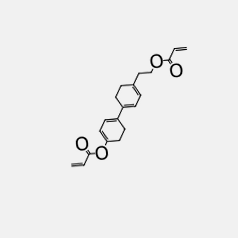 C=CC(=O)OCCC1=CC=C(C2=CC=C(OC(=O)C=C)CC2)CC1